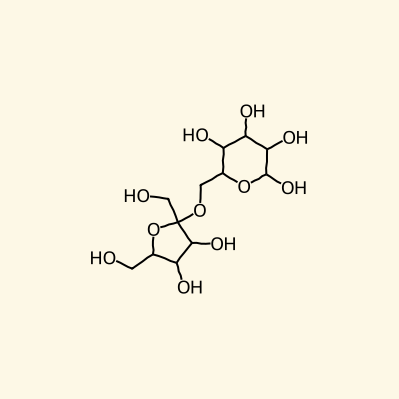 OCC1OC(CO)(OCC2OC(O)C(O)C(O)C2O)C(O)C1O